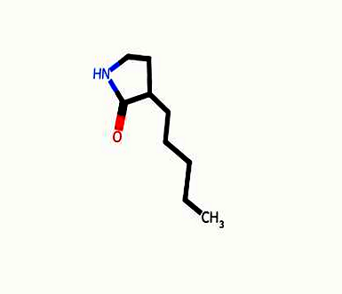 CCCCCC1CCNC1=O